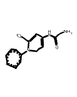 NC(=O)NC1=CCN(c2ccccc2)C(Cl)=C1